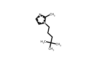 Cc1nccn1CCCC(C)(C)C